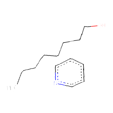 CCCCCCCCO.c1ccncc1